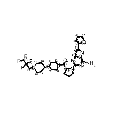 Nc1nc(N2CCC[C@H]2C(=O)N2CCC(C3CCN(CC(F)(F)C(F)F)CC3)CC2)nc2nc(-c3ccco3)nn12